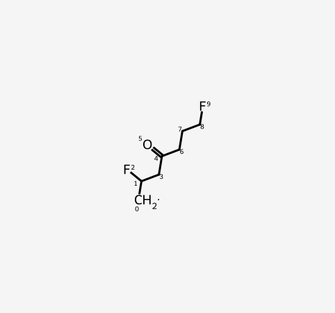 [CH2]C(F)CC(=O)CCCF